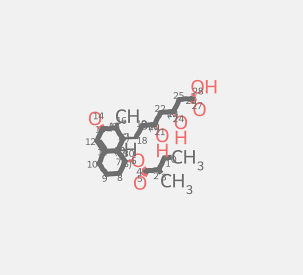 CCC(C)C(=O)O[C@H]1CCCC2=CC(=O)[C@@H](C)[C@@H](CC[C@@H](O)C[C@@H](O)CC(=O)O)[C@H]21